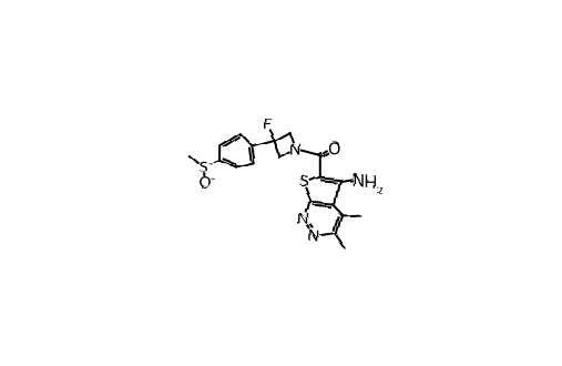 Cc1nnc2sc(C(=O)N3CC(F)(c4ccc([S+](C)[O-])cc4)C3)c(N)c2c1C